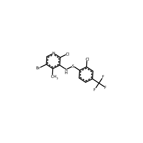 Cc1c(Br)cnc(Cl)c1NSc1ccc(C(F)(F)F)cc1Cl